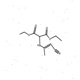 CCOC(=O)C(NC(C)=CC#N)C(=O)OCC